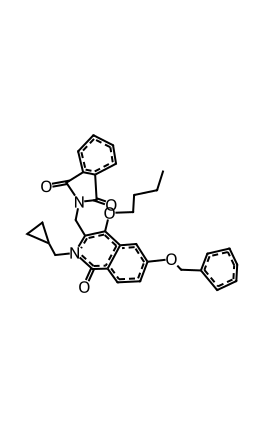 CCCCOc1c(CN2C(=O)c3ccccc3C2=O)n(CC2CC2)c(=O)c2ccc(OCc3ccccc3)cc12